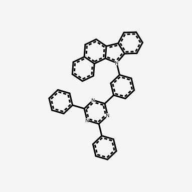 c1ccc(-c2nc(-c3ccccc3)nc(-c3cccc(-n4c5ccccc5c5ccc6ccccc6c54)c3)n2)cc1